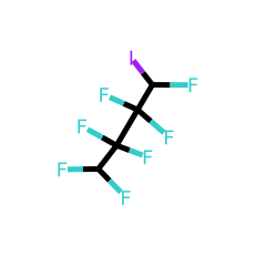 FC(F)C(F)(F)C(F)(F)C(F)I